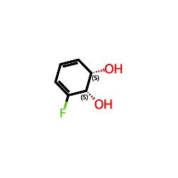 O[C@@H]1C(F)=CC=C[C@@H]1O